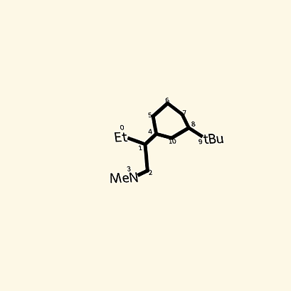 CCC(CNC)C1CCCC(C(C)(C)C)C1